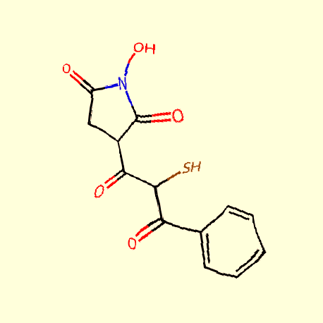 O=C(c1ccccc1)C(S)C(=O)C1CC(=O)N(O)C1=O